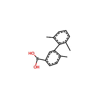 Cc1ccc(B(O)O)cc1-c1c(C)cccc1C